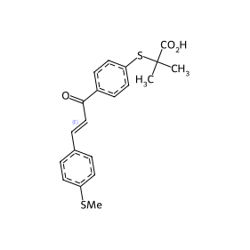 CSc1ccc(/C=C/C(=O)c2ccc(SC(C)(C)C(=O)O)cc2)cc1